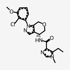 CCc1c(C(=O)N[C@H]2COCc3c2cnn3-c2cccc(OC)c2Cl)ncn1C